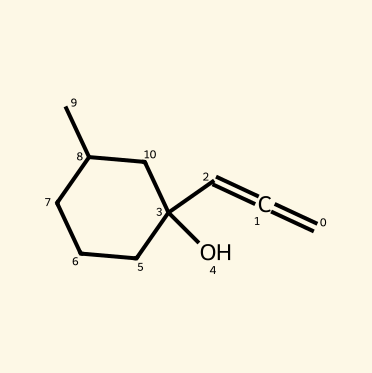 C=C=CC1(O)CCCC(C)C1